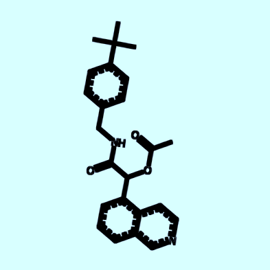 CC(=O)OC(C(=O)NCc1ccc(C(C)(C)C)cc1)c1cccc2cnccc12